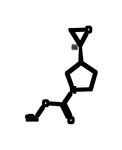 CC(C)(C)OC(=O)N1CCC([C@H]2CO2)C1